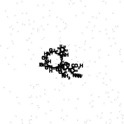 CC[C@H](C)[C@@H]1NC(=O)CNC(=O)CCc2c([nH]c3ccccc23)SC[C@@H](C(=O)N[C@@H](CC(N)=O)C(=O)N2CC(N=[N+]=[N-])C[C@H]2C(=O)O)NC(=O)CNC1=O